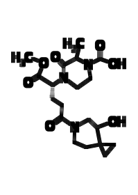 COC(=O)[C@@H](CCC(=O)N1CCC2(CC2)C(O)C1)N1CCN(C(=O)O)C(C)C1=O